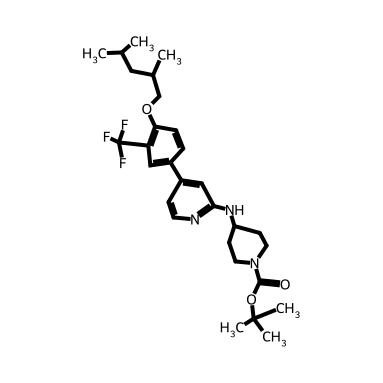 CC(C)CC(C)COc1ccc(-c2ccnc(NC3CCN(C(=O)OC(C)(C)C)CC3)c2)cc1C(F)(F)F